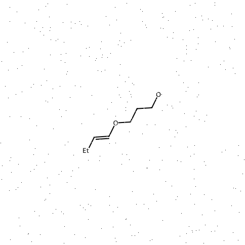 CC/C=C/OCCC[O]